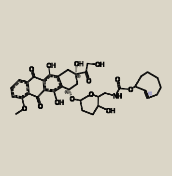 COc1cccc2c1C(=O)c1c(O)c3c(c(O)c1C2=O)C[C@@](O)(C(=O)CO)C[C@@H]3OC1CCC(O)C(CNC(=O)OC2/C=C/CCCCC2)O1